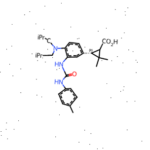 Cc1ccc(NC(=O)Nc2cc([C@@H]3C(C(=O)O)C3(C)C)ccc2N(CC(C)C)CC(C)C)cc1